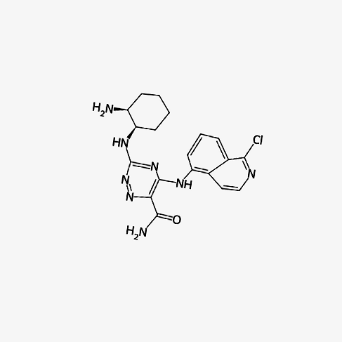 NC(=O)c1nnc(N[C@@H]2CCCC[C@@H]2N)nc1Nc1cccc2c(Cl)nccc12